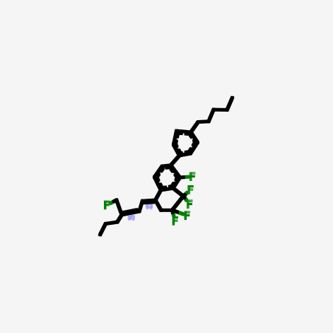 CCCCCc1ccc(-c2ccc3c(c2F)C(F)(F)C(F)(F)C/C3=C\C=C(/CF)CCC)cc1